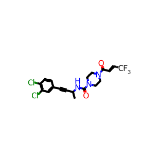 CC(C#Cc1ccc(Cl)c(Cl)c1)NC(=O)N1CCN(C(=O)C=CC(F)(F)F)CC1